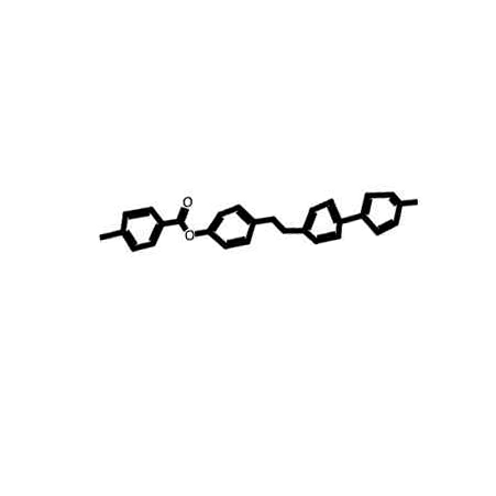 Cc1ccc(C(=O)Oc2ccc(CCc3ccc(-c4ccc(C)cc4)cc3)cc2)cc1